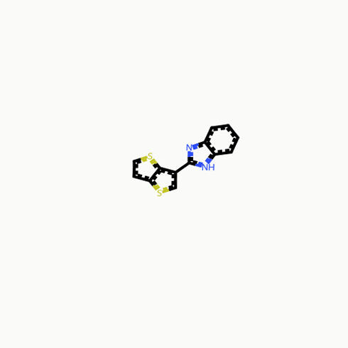 c1ccc2[nH]c(-c3csc4ccsc34)nc2c1